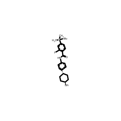 CCCC[Si](C)(C)c1ccc(C(=O)Nc2ccc([C@H]3CC[C@H](CCC)CC3)cc2)c(F)c1